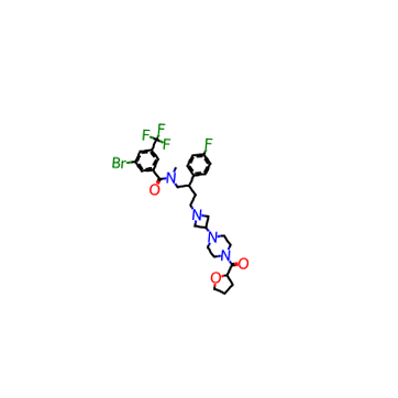 CN(CC(CCN1CC(N2CCN(C(=O)C3CCCO3)CC2)C1)c1ccc(F)cc1)C(=O)c1cc(Br)cc(C(F)(F)F)c1